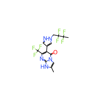 Cc1cn2c(=O)c(-c3cnn(CC(F)(F)C(C)(F)F)c3)c(C(F)(F)F)nc2[nH]1